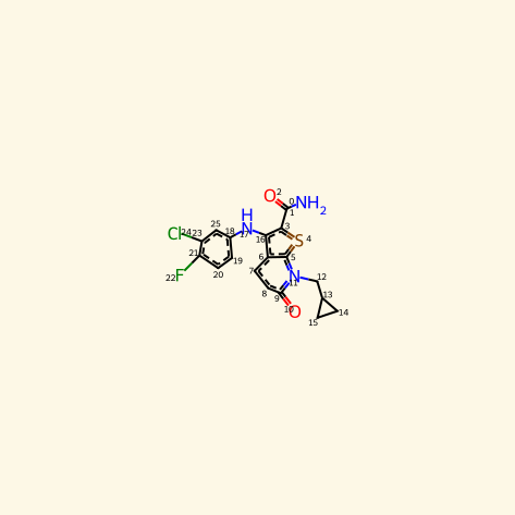 NC(=O)c1sc2c(ccc(=O)n2CC2CC2)c1Nc1ccc(F)c(Cl)c1